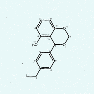 CCc1ccc(C2OCOc3cccc(O)c32)cc1